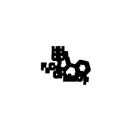 CC=C(CC(O)(CO)C(F)(F)F)c1cccc(F)c1OC